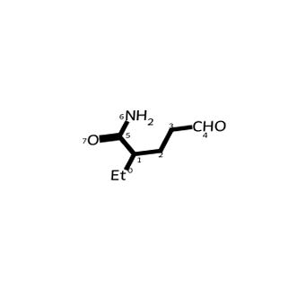 CCC(CCC=O)C(N)=O